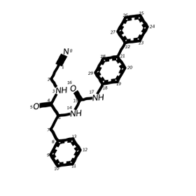 N#CCNC(=O)C(Cc1ccccc1)NC(=O)Nc1ccc(-c2ccccc2)cc1